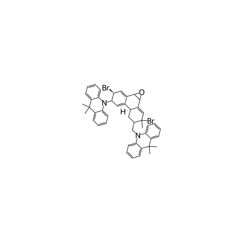 CC1(C)c2ccccc2N(CC2C[C@H]3C4=CC(N5c6ccccc6C(C)(C)c6ccccc65)[C@@H](Br)C=C4C4OC4C3=CC2(C)Br)c2ccccc21